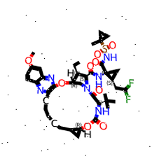 CC[C@@H]1[C@@H]2CN(C(=O)[C@H](C(C)(C)C)NC(=O)O[C@@H]3CC3CCCCCc3nc4ccc(OC)cc4nc3O2)[C@@H]1C(=O)N[C@]1(C(=O)NS(=O)(=O)C2(C)CC2)C[C@H]1CC(F)F